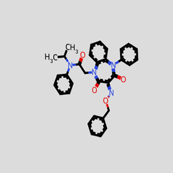 CC(C)N(C(=O)Cn1c(=O)c(=NOCc2ccccc2)c(=O)n(-c2ccccc2)c2ccccc21)c1ccccc1